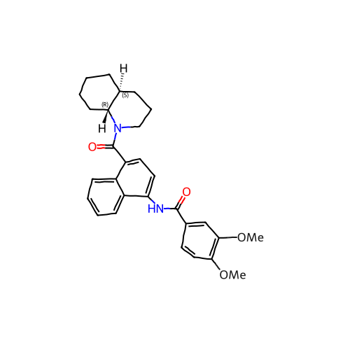 COc1ccc(C(=O)Nc2ccc(C(=O)N3CCC[C@@H]4CCCC[C@H]43)c3ccccc23)cc1OC